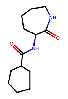 O=C(N[C@H]1CCCCNC1=O)C1CCCCC1